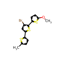 COc1ccc(-c2sc(-c3ccc(C)s3)cc2Br)s1